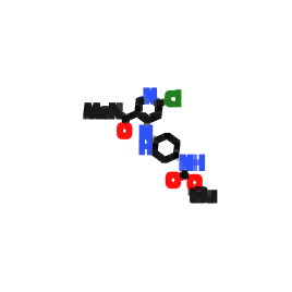 CNC(=O)c1cnc(Cl)cc1N[C@H]1CC[C@@H](NC(=O)OC(C)(C)C)CC1